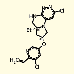 C=Cc1ncc(O[C@H]2CN3c4cc(Cl)nnc4NC[C@]3(CC)C2)cc1Cl